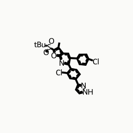 Cc1c(S(=O)(=O)C(C)(C)C)oc2nc(-c3ccc(-c4cc[nH]n4)cc3Cl)c(-c3ccc(Cl)cc3)cc12